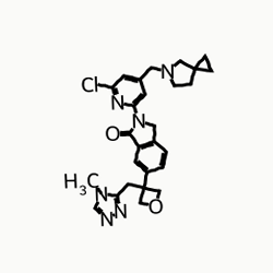 Cn1cnnc1CC1(c2ccc3c(c2)C(=O)N(c2cc(CN4CCC5(CC5)C4)cc(Cl)n2)C3)COC1